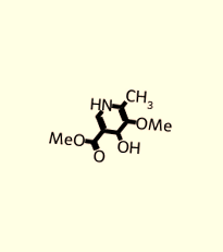 COC(=O)C1=CNC(C)=C(OC)C1O